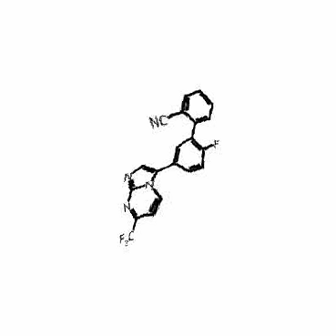 N#Cc1ccccc1-c1cc(-c2cnc3nc(C(F)(F)F)ccn23)ccc1F